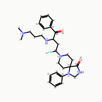 CN(C)CCCNC(CC(F)N1CCC2(CC1)C(=O)NCN2c1ccccc1)C(=O)c1ccccc1